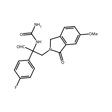 COc1ccc2c(c1)C(=O)N(CC(C=O)(NC(N)=O)c1ccc(F)cc1)C2